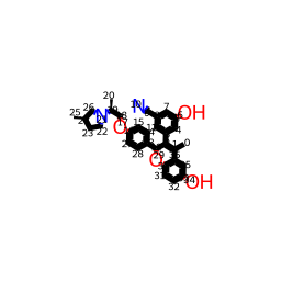 CC1=C(c2cc(O)cc(C#N)c2)C(c2ccc(OC[C@H](C)N3CC[C@@H](C)C3)cc2)Oc2ccc(O)cc21